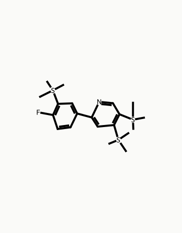 CS(C)(C)c1cc(-c2cc(S(C)(C)C)c(S(C)(C)C)cn2)ccc1F